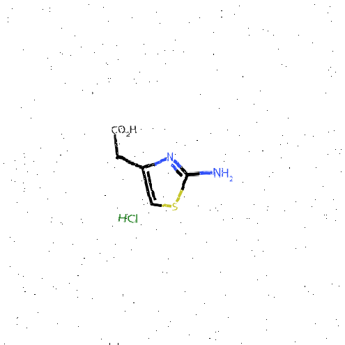 Cl.Nc1nc(CC(=O)O)cs1